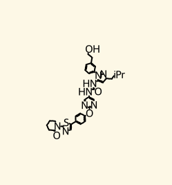 CC(C)Cc1cc(NC(=O)Nc2cnc(Oc3ccc(-c4cnc(N5CCCCC5=O)s4)cc3)nc2)n(-c2cccc(CCO)c2)n1